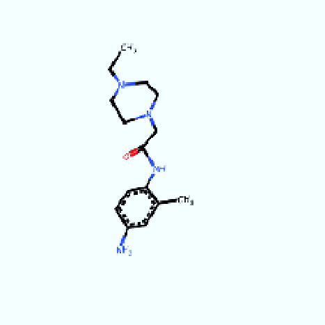 CCN1CCN(CC(=O)Nc2ccc(N)cc2C)CC1